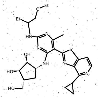 CCOCC(CC)Nc1nc(C)c(-c2nc3c(C4CC4)nccc3s2)c(N[C@@H]2C[C@H](CO)[C@@H](O)[C@H]2O)n1